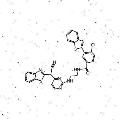 N#CC(c1ccnc(NCCNC(=O)c2ccc(Cl)c(-c3nc4ccccc4s3)c2)n1)c1nc2ccccc2s1